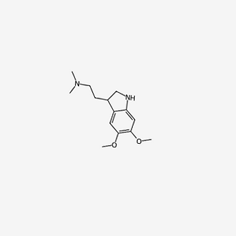 COc1cc2c(cc1OC)C(CCN(C)C)CN2